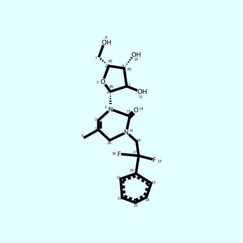 CC1=CN([C@@H]2O[C@H](CO)[C@H](O)C2O)C(=O)N(CC(F)(F)c2ccccc2)C1